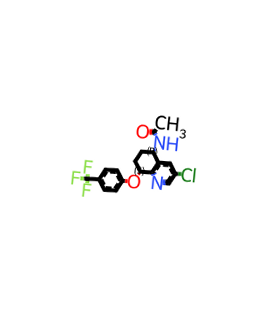 CC(=O)N[C@@H]1CC[C@H](Oc2ccc(C(F)(F)F)cc2)c2ncc(Cl)cc21